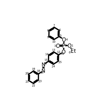 CCOP(=O)(Oc1ccccc1)Oc1ccc(/N=N/c2ccccc2)cc1